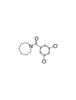 O=C(c1cc(Cl)cc(Cl)c1)N1CCCCCC1